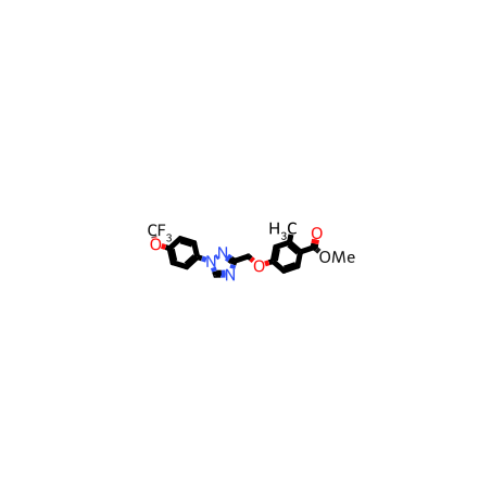 COC(=O)c1ccc(OCc2ncn(-c3ccc(OC(F)(F)F)cc3)n2)cc1C